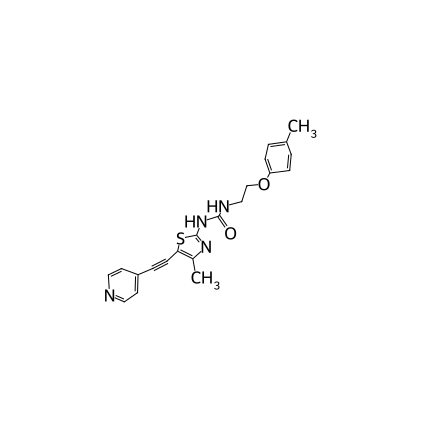 Cc1ccc(OCCNC(=O)Nc2nc(C)c(C#Cc3ccncc3)s2)cc1